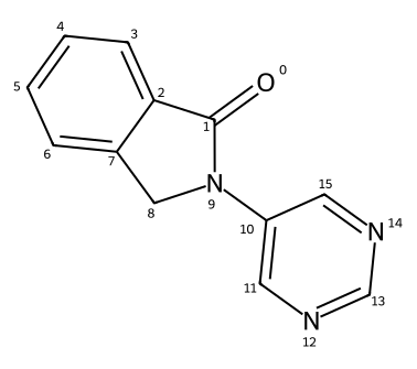 O=C1c2ccccc2CN1c1cncnc1